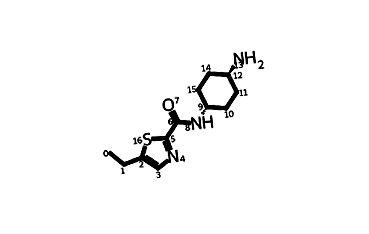 CCc1cnc(C(=O)N[C@H]2CC[C@H](N)CC2)s1